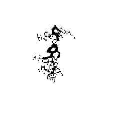 COc1ccc(C)nc1COc1ccc2c(c1)CCN(C(=O)OC(C)(C)C(=O)N(C)C)C2C(C)C